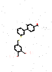 COC(=O)c1ccc(-c2cccc(SCc3ccc(CO)c(CO)c3)c2)c(C)c1